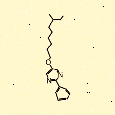 CCC(C)CCCCCCOc1cnc(-c2cc[c]cc2)nc1